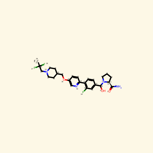 NC(=O)[C@@H]1CCCN1C(O)c1ccc(-c2ccc(OCC3CCN(CC(F)(F)C(F)(F)F)CC3)cn2)c(F)c1